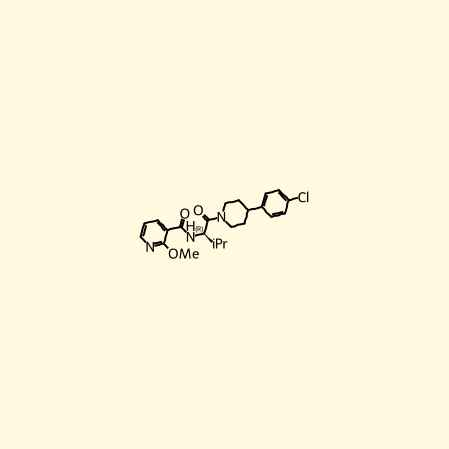 COc1ncccc1C(=O)N[C@@H](C(=O)N1CCC(c2ccc(Cl)cc2)CC1)C(C)C